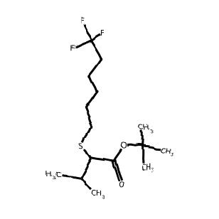 CC(C)C(SCCCCCC(F)(F)F)C(=O)OC(C)(C)C